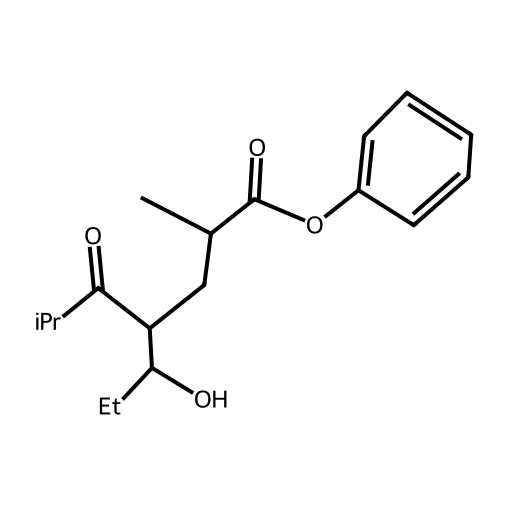 CCC(O)C(CC(C)C(=O)Oc1ccccc1)C(=O)C(C)C